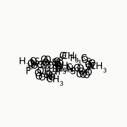 CN(c1cc2oc(=O)c(C(=O)O)cc2s1)S(=O)(=O)c1ccc(C(F)(F)F)cc1.COc1ccc(S(=O)(=O)N(C)c2cc3oc(=O)c(C(=O)OC(=O)c4cc5sc(N(C)S(=O)(=O)c6ccc(F)cc6)cc5oc4=O)cc3s2)cc1.COc1cccc(S(=O)(=O)N(C)c2cc3oc(=O)c(C(=O)OC(=O)c4cc5sc(N(C)Cc6ccc(C(F)(F)F)cc6)cc5oc4=O)cc3s2)c1